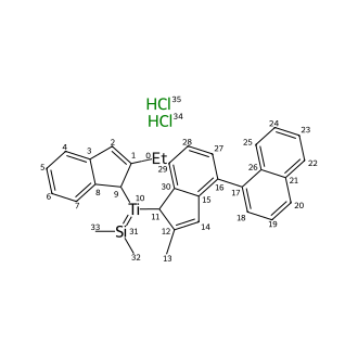 CCC1=Cc2ccccc2[CH]1[Ti]([CH]1C(C)=Cc2c(-c3cccc4ccccc34)cccc21)=[Si](C)C.Cl.Cl